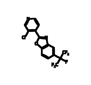 FC(F)(F)C(F)(c1ccc2oc(-c3ccncc3Cl)nc2c1)C(F)(F)F